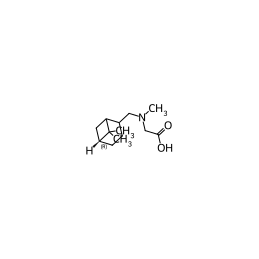 CN(CC(=O)O)CC1CC[C@@H]2CC1C2(C)C